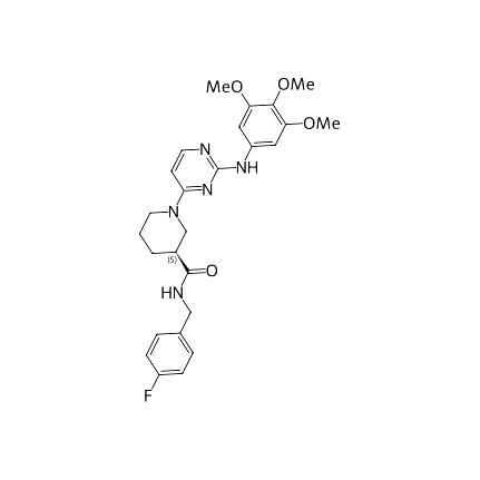 COc1cc(Nc2nccc(N3CCC[C@H](C(=O)NCc4ccc(F)cc4)C3)n2)cc(OC)c1OC